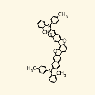 Cc1ccc(N(c2ccc3cc4c(cc3c2)oc2c4ccc3oc4cc5cc(N(c6ccc(C)cc6)c6ccccc6C)ccc5cc4c32)c2ccccc2C)cc1